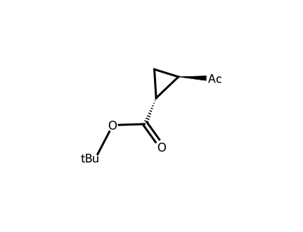 CC(=O)[C@@H]1C[C@H]1C(=O)OC(C)(C)C